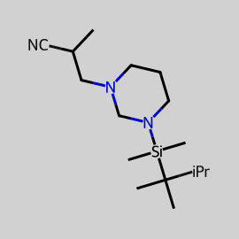 CC(C#N)CN1CCCN([Si](C)(C)C(C)(C)C(C)C)C1